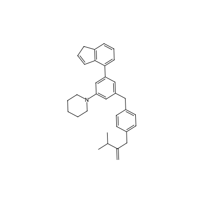 C=C(Cc1ccc(Cc2cc(-c3cccc4c3C=CC4)cc(N3CCCCC3)c2)cc1)C(C)C